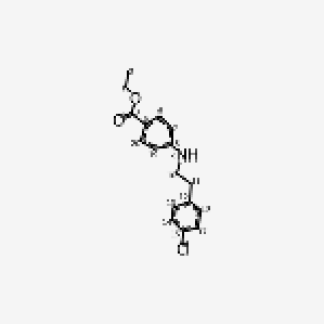 CCOC(=O)c1ccc(NCCc2ccc(Cl)cc2)cc1